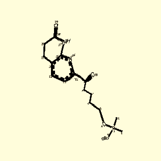 CC(C)(C)[Si](C)(C)OCCCCC(=O)c1ccc2c(n1)NC(=O)CC2